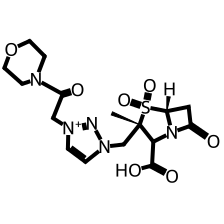 C[C@]1(Cn2cc[n+](CC(=O)N3CCOCC3)n2)C(C(=O)O)N2C(=O)C[C@H]2S1(=O)=O